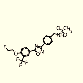 CS(=O)(=O)NCc1ccc(-c2noc(-c3ccc(OCCF)c(C(F)(F)F)c3)n2)cc1